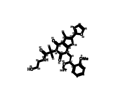 COc1ccccc1[C@H](Cn1c(=O)n(C(C)(C)C(=O)NCCO)c(=O)c2c(C)c(-c3ncco3)sc21)OC(C)C